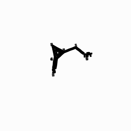 CCCCc1cc1=S